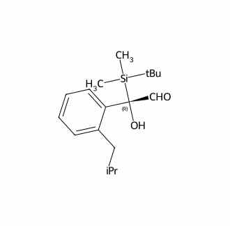 CC(C)Cc1ccccc1[C@](O)(C=O)[Si](C)(C)C(C)(C)C